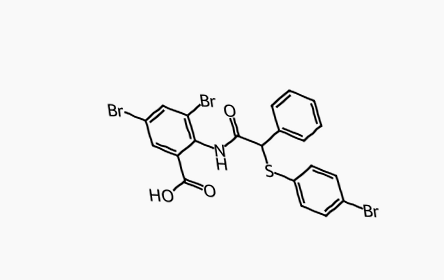 O=C(O)c1cc(Br)cc(Br)c1NC(=O)C(Sc1ccc(Br)cc1)c1ccccc1